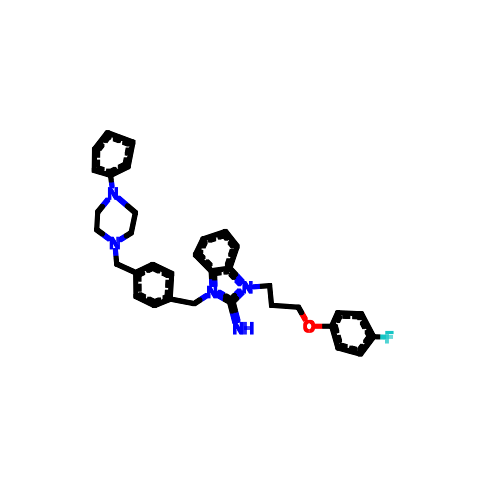 N=c1n(CCCOc2ccc(F)cc2)c2ccccc2n1Cc1ccc(CN2CCN(c3ccccc3)CC2)cc1